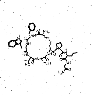 CC[C@H](C)[C@H](NC(=O)[C@@H]1CCCN1C(=O)[C@@H]1CSSC[C@H](N)C(=O)N[C@@H](Cc2ccccc2)C(=O)N[C@@H](Cc2c[nH]c3ccccc23)C(=O)N[C@@H]([C@@H](C)O)C(=O)N[C@@H](CO)C(=O)N1)C(=O)NCC(N)=O